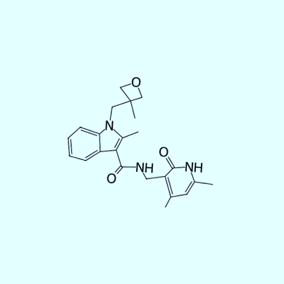 Cc1cc(C)c(CNC(=O)c2c(C)n(CC3(C)COC3)c3ccccc23)c(=O)[nH]1